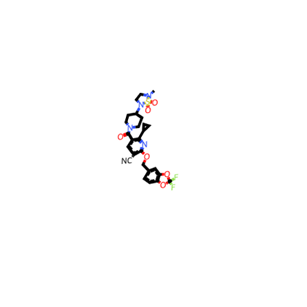 CN1CCN(C2CCN(C(=O)c3cc(C#N)c(OCc4ccc5c(c4)OC(F)(F)O5)nc3C3CC3)CC2)S1(=O)=O